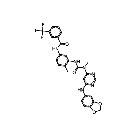 Cc1ccc(NC(=O)c2cccc(C(F)(F)F)c2)cc1NC(=O)N(C)c1cc(Nc2ccc3c(c2)OCO3)ncn1